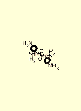 Nc1ccc(NC(=O)C(=O)Nc2ccc(N)cc2N)c(N)c1